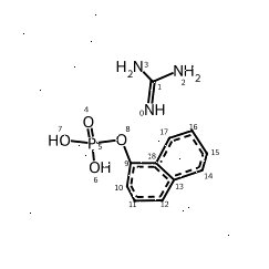 N=C(N)N.O=P(O)(O)Oc1cccc2ccccc12